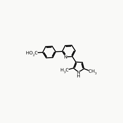 Cc1cc(-c2cccc(-c3ccc(C(=O)O)cc3)n2)c(C)[nH]1